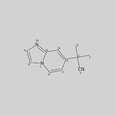 CC(C)(C#N)c1ccn2ccnc2c1